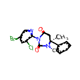 CN1C(=O)N(c2ncc(Br)cc2Cl)C(=O)C[C@@]1(C)c1ccccc1